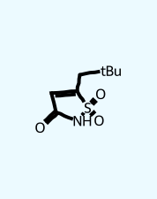 CC(C)(C)CC1=CC(=O)NS1(=O)=O